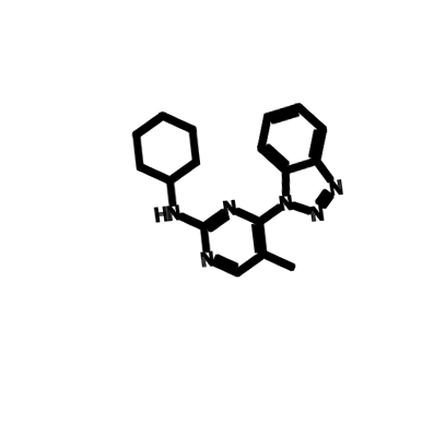 Cc1cnc(NC2CCCCC2)nc1-n1nnc2ccccc21